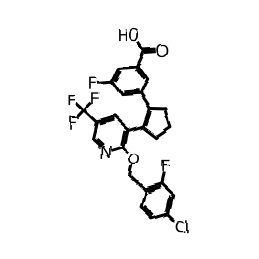 O=C(O)c1cc(F)cc(C2=C(c3cc(C(F)(F)F)cnc3OCc3ccc(Cl)cc3F)CCC2)c1